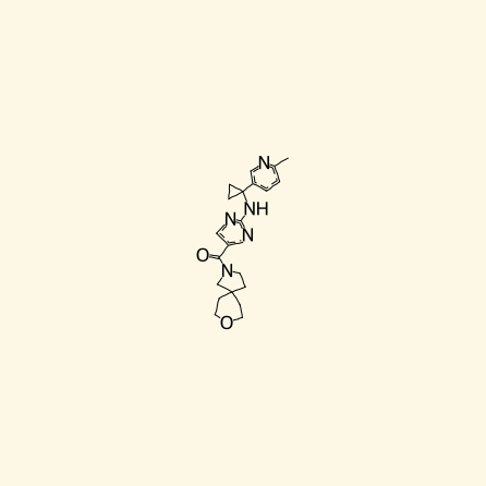 Cc1ccc(C2(Nc3ncc(C(=O)N4CCC5(CCOCC5)C4)cn3)CC2)cn1